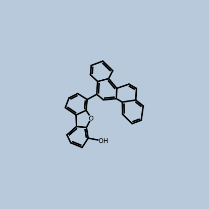 Oc1cccc2c1oc1c(-c3cc4c5ccccc5ccc4c4ccccc34)cccc12